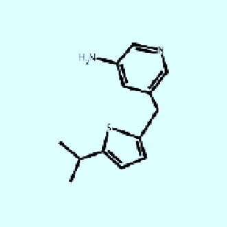 CC(C)c1ccc(Cc2cncc(N)c2)s1